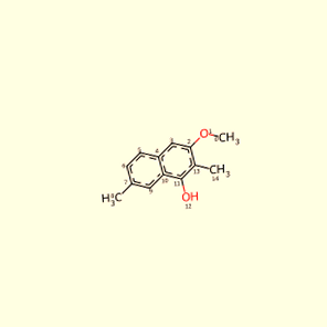 COc1cc2ccc(C)cc2c(O)c1C